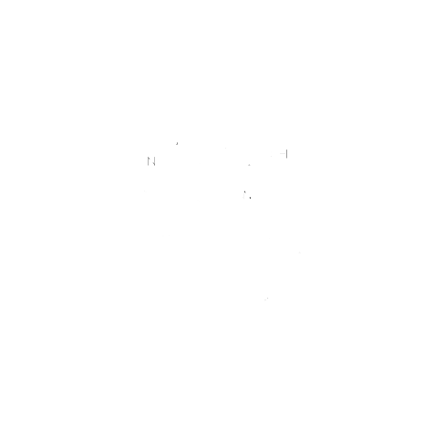 CC1Cc2cncc(Cl)c2CN1Cc1ccccc1